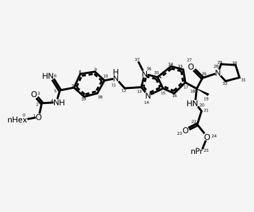 CCCCCCOC(=O)NC(=N)c1ccc(NCc2nc3cc([C@@](C)(NCC(=O)OCCC)C(=O)N4CCCC4)ccc3n2C)cc1